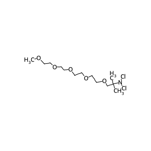 COCCOCCOCCOCCOCC(C)(C)N(Cl)Cl